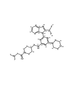 CN(C)CC(=O)N1CCC(CNc2nc(N3CCOCC3)nc(-n3c(C(F)F)nc4ccccc43)n2)CC1